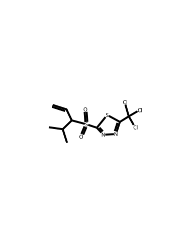 C=CC(C(C)C)S(=O)(=O)c1nnc(C(Cl)(Cl)Cl)s1